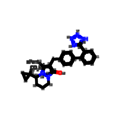 CCCCCc1c(Cc2ccc(-c3ccccc3-c3nnn[nH]3)cc2)c(=O)n2n1C(C1(C(=O)OCC)CC1)CCC2